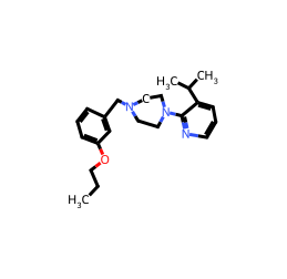 CCCOc1cccc(CN2CCN(c3ncccc3C(C)C)CC2)c1